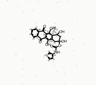 C[C@]1(O)C[C@](O)(OC(=O)Nc2ccsc2)Cc2c(O)c3c(c(O)c21)C(=O)c1ccccc1C3=O